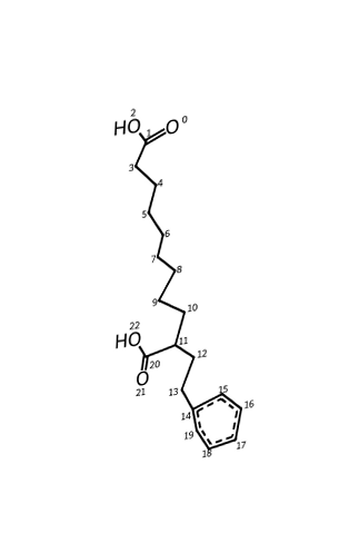 O=C(O)CCCCCCCCC(CCc1ccccc1)C(=O)O